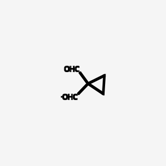 O=[C]C1(C=O)CC1